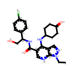 CCn1ncc2c(NC3CCC(=O)CC3)c(C(=O)NC(CO)c3ccc(Cl)cc3)cnc21